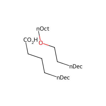 CCCCCCCCCCCCCC(=O)O.CCCCCCCCCCCCOCCCCCCCC